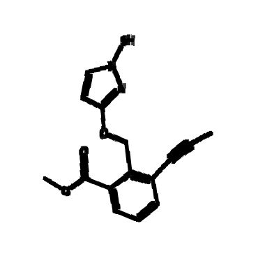 CC#Cc1cccc(C(=O)OC)c1COc1ccn(S)n1